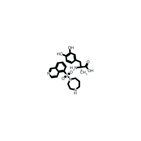 C[C@](N)(Cc1ccc(O)c(O)c1)C(=O)O.O=S(=O)(c1cccc2cnccc12)N1CCCNCC1